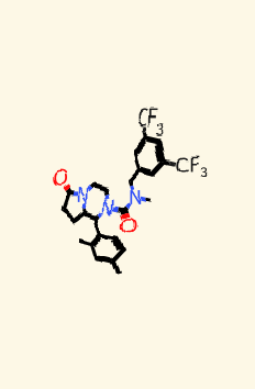 Cc1ccc(C2C3CCC(=O)N3CCN2C(=O)N(C)Cc2cc(C(F)(F)F)cc(C(F)(F)F)c2)c(C)c1